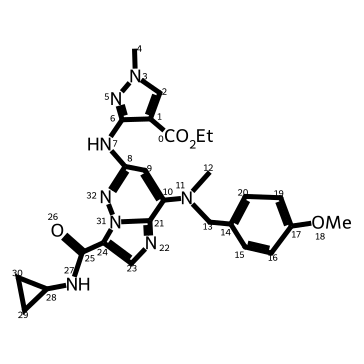 CCOC(=O)c1cn(C)nc1Nc1cc(N(C)Cc2ccc(OC)cc2)c2ncc(C(=O)NC3CC3)n2n1